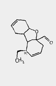 CC[C@@H]1C=CCC2(C=O)OC3CC=CCC3C12